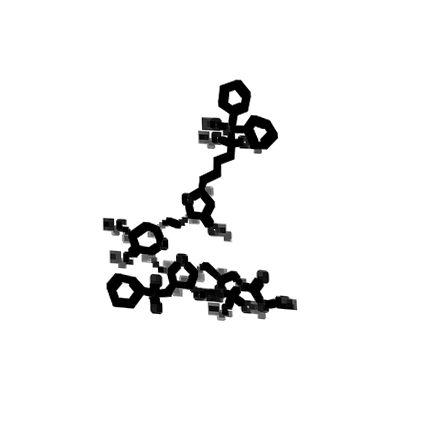 C=C1C[C@H](CCCCC(C)(C)[Si](O)(c2ccccc2)c2ccccc2)O[C@H]1CC[C@H]1C[C@@H](C)C(=C)[C@@H](C[C@@H]2O[C@H](C[C@H]3CN(C(=O)OC(C)(C)C)C(C)(C)O3)[C@H](OC)[C@H]2CS(=O)(=O)c2ccccc2)O1